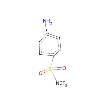 Nc1ccc(S(=O)(=O)NC(F)(F)F)cc1